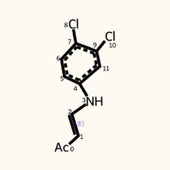 CC(=O)/C=C/Nc1ccc(Cl)c(Cl)c1